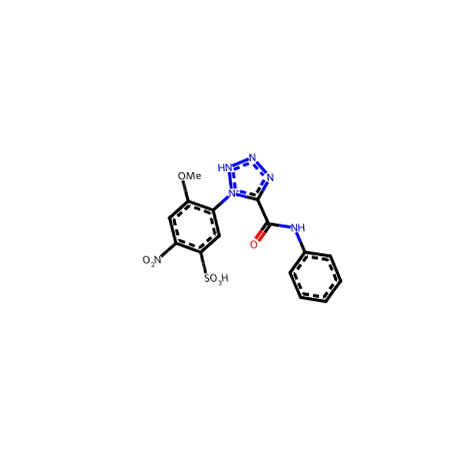 COc1cc([N+](=O)[O-])c(S(=O)(=O)O)cc1-[n+]1[nH]nnc1C(=O)Nc1ccccc1